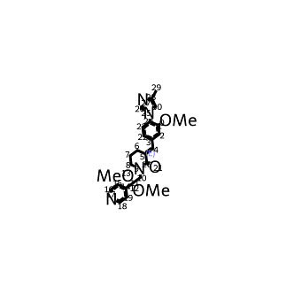 COc1cc(/C=C2\CCCN(CC(OC)(OC)c3ccncc3)C2=O)ccc1-n1cnc(C)c1